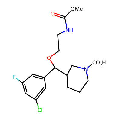 COC(=O)NCCOC(c1cc(F)cc(Cl)c1)C1CCCN(C(=O)O)C1